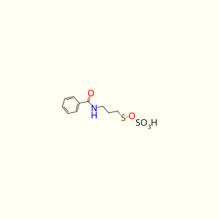 O=C(NCCCSOS(=O)(=O)O)c1ccccc1